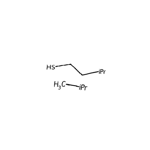 CC(C)C.CC(C)CCS